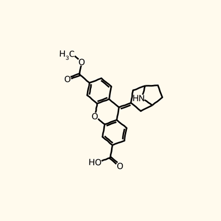 COC(=O)c1ccc2c(c1)Oc1cc(C(=O)O)ccc1C2=C1CC2CCC(C1)N2